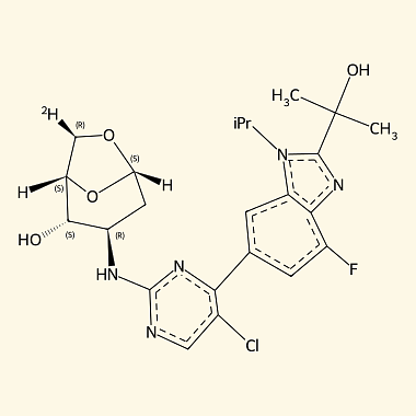 [2H][C@H]1O[C@@H]2C[C@@H](Nc3ncc(Cl)c(-c4cc(F)c5nc(C(C)(C)O)n(C(C)C)c5c4)n3)[C@H](O)[C@H]1O2